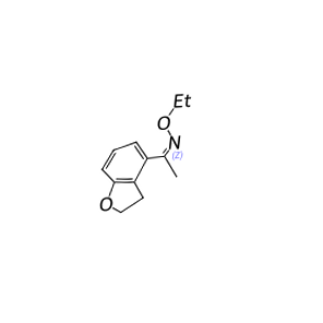 CCO/N=C(/C)c1cccc2c1CCO2